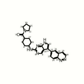 O=C(C1CCC(Nc2ncc3c(-c4ccc5nnccc5c4)c[nH]c3n2)CC1)N1CCCC1